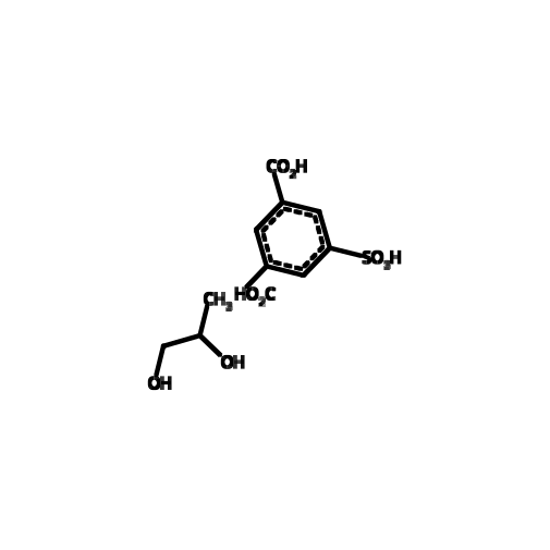 CC(O)CO.O=C(O)c1cc(C(=O)O)cc(S(=O)(=O)O)c1